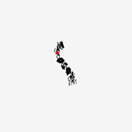 CCC(CC)n1ncn(-c2ccc(N3CCN(c4ccc(OC[C@H]5CO[C@@H](Cn6nccn6)O5)cc4)CC3)cc2)c1=O